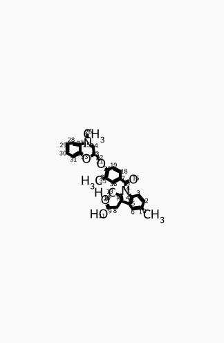 Cc1ccc2c(c1)c(CC(=O)O)c(C)n2C(=O)c1ccc(OC[C@@H]2CN(C)c3ccccc3O2)c(C)c1